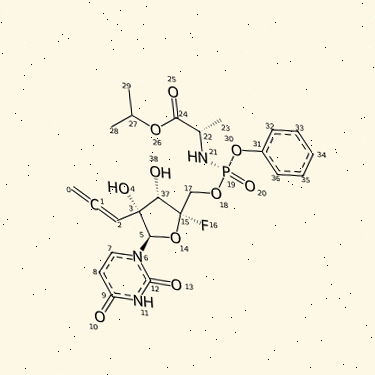 C=C=C[C@]1(O)[C@H](n2ccc(=O)[nH]c2=O)O[C@](F)(CO[P@@](=O)(N[C@@H](C)C(=O)OC(C)C)Oc2ccccc2)[C@H]1O